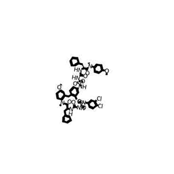 COc1ccc(N(C)C(=O)[C@H](Cc2ccccc2)NC(=O)NS(=O)(=O)Nc2ccc(Cc3cc(OC)ccc3N(C)C(=O)C(Cc3ccccc3)NC(=O)NS(=O)(=O)Nc3ccc(Cl)c(Cl)c3)c(C)c2)cc1